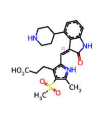 Cc1[nH]c(/C=C2\C(=O)Nc3cccc(C4CCNCC4)c32)c(CCC(=O)O)c1S(C)(=O)=O